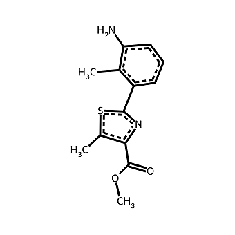 COC(=O)c1nc(-c2cccc(N)c2C)sc1C